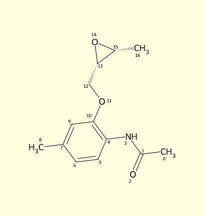 CC(=O)Nc1ccc(C)cc1OC[C@@H]1O[C@@H]1C